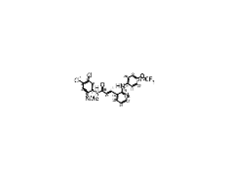 CNc1cc(Cl)c(Cl)cc1NC(=O)/C=C/c1cccnc1Nc1ccc(OC(F)(F)F)cc1